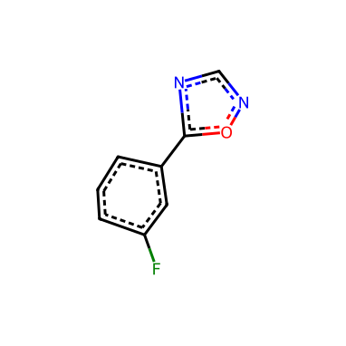 Fc1cccc(-c2ncno2)c1